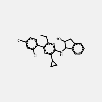 CCc1nc(NC2c3ccccc3CC2O)c(C2CC2)nc1-c1ccc(Cl)cc1Cl